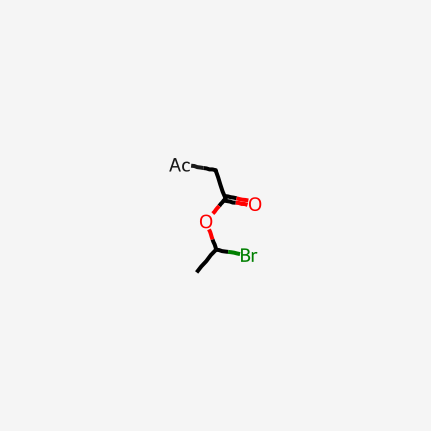 CC(=O)CC(=O)OC(C)Br